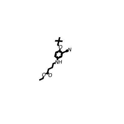 CCOC(=O)CCCNc1ccc(OCC(C)(C)C)c(C#N)c1